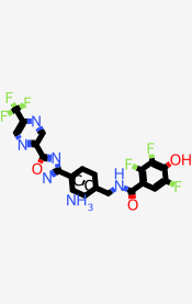 N.O=C(NCC12CCC(c3noc(-c4cnc(C(F)(F)F)cn4)n3)(CC1)CC2)c1cc(F)c(O)c(F)c1F